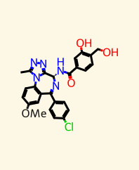 COc1ccc2c(c1)C(c1ccc(Cl)cc1)=N[C@@H](NC(=O)c1ccc(CO)c(O)c1)c1nnc(C)n1-2